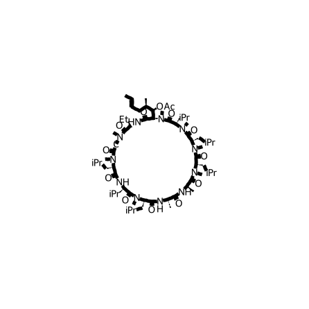 C/C=C/C[C@@H](C)[C@@H](OC(C)=O)[C@H]1C(=O)N[C@@H](CC)C(=O)N(C)CC(=O)N(C)[C@@H](CC(C)C)C(=O)N[C@@H](C(C)C)C(=O)N(C)[C@@H](CC(C)C)C(=O)N[C@@H](C)C(=O)N[C@H](C)C(=O)N(C)[C@@H](CC(C)C)C(=O)N(C)[C@@H](CC(C)C)C(=O)N(C)[C@@H](C(C)C)C(=O)N1C